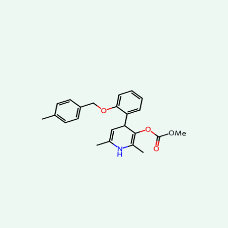 COC(=O)OC1=C(C)NC(C)=CC1c1ccccc1OCc1ccc(C)cc1